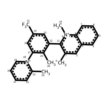 Cc1cc2ccccc2[n+](C)c1-c1cc(C(F)(F)F)cc(-[n+]2ccccc2C)c1C